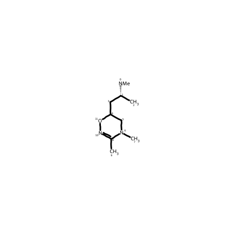 CN[C@H](C)CC1CN(C)C(C)=NO1